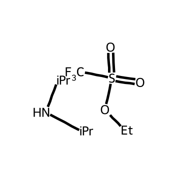 CC(C)NC(C)C.CCOS(=O)(=O)C(F)(F)F